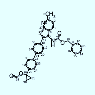 Cc1ccc2c(NC(=O)OCc3ccccc3)c(-c3ccc(-c4ccc(C5(OC=O)CC5)cc4)cc3)sc2n1